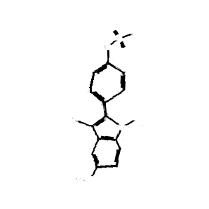 CCCS(=O)(=O)Nc1ccc(-c2c(N)c3cc(OC)ccc3n2CC)cc1